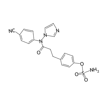 N#Cc1ccc(N(C(=O)CCc2ccc(OS(N)(=O)=O)cc2)n2ccnc2)cc1